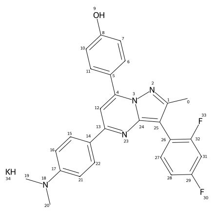 Cc1nn2c(-c3ccc(O)cc3)cc(-c3ccc(N(C)C)cc3)nc2c1-c1ccc(F)cc1F.[KH]